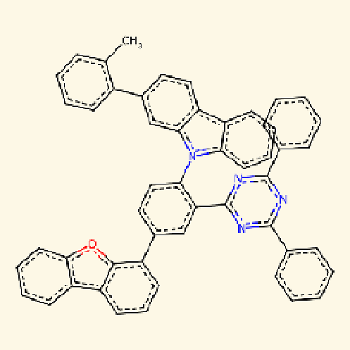 Cc1ccccc1-c1ccc2c3ccccc3n(-c3ccc(-c4cccc5c4oc4ccccc45)cc3-c3nc(-c4ccccc4)nc(-c4ccccc4)n3)c2c1